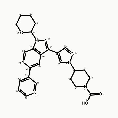 O=C(O)N1CCC(n2cc(-c3nn(C4CCCCO4)c4cnc(-c5cccnc5)cc34)cn2)CC1